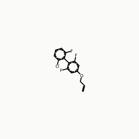 C=CCOc1cc(F)c(-c2c(F)[c]ccc2Cl)c(F)c1